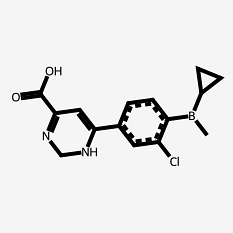 CB(c1ccc(C2=CC(C(=O)O)=NCN2)cc1Cl)C1CC1